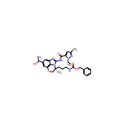 CCn1nc(C)cc1C(=O)Nc1nc2cc(C(N)O)cc3c2n1[C@@](C)(CCCNC(=O)OCc1ccccc1)CO3